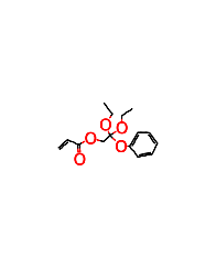 C=CC(=O)OCC(OCC)(OCC)Oc1ccccc1